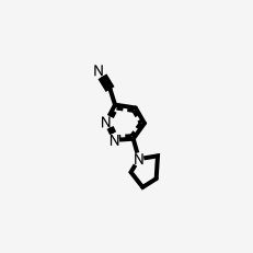 N#Cc1ccc(N2CCCC2)nn1